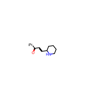 CC(C)C(=O)/C=C/C1CCCCN1